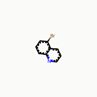 Brc1cccc2ncccc12